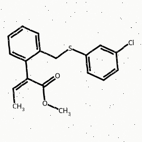 CC=C(C(=O)OC)c1ccccc1CSc1cccc(Cl)c1